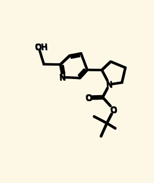 CC(C)(C)OC(=O)N1CCCC1c1ccc(CO)nc1